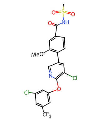 COc1cc(C(=O)NS(C)(=O)=O)ccc1-c1cnc(Oc2cc(Cl)cc(C(F)(F)F)c2)c(Cl)c1